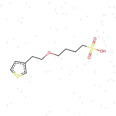 O=S(=O)(O)CCC[CH]OCCc1ccsc1